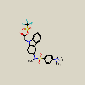 CN(C1CCc2c(c3ccccc3n2CC(=O)OS(=O)(=O)C(F)(F)F)C1)S(=O)(=O)c1ccc([N+](C)(C)C)cc1